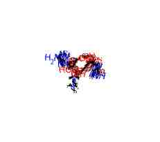 CCN(CC)CC.CCN(CC)CC.Nc1ncnc2c1ncn2C1OC2COP(=O)(O)OC3C(COP(=O)(O)OC2C1O)OC(n1cnc2c(=O)[nH]cnc21)C3O